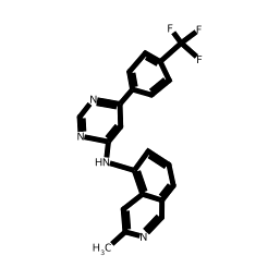 Cc1cc2c(Nc3cc(-c4ccc(C(F)(F)F)cc4)ncn3)cccc2cn1